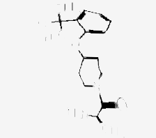 C=C(N)C(=O)N1CCC(Oc2ccccc2C(C)(C)C)CC1